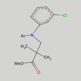 COC(=O)C(C)(C)CN(C(C)=O)c1cccc(Cl)c1